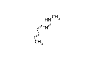 C/C=C/C=C\N=C/NC